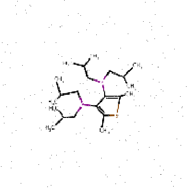 Cc1sc(C)c(P(CC(C)C)CC(C)C)c1P(CC(C)C)CC(C)C